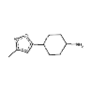 Cc1cc(C2CCC(N)CC2)on1